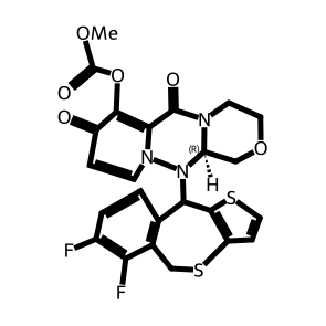 COC(=O)Oc1c2n(ccc1=O)N(C1c3ccc(F)c(F)c3CSc3ccsc31)[C@@H]1COCCN1C2=O